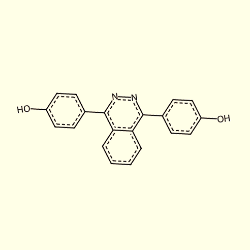 Oc1ccc(-c2nnc(-c3ccc(O)cc3)c3ccccc23)cc1